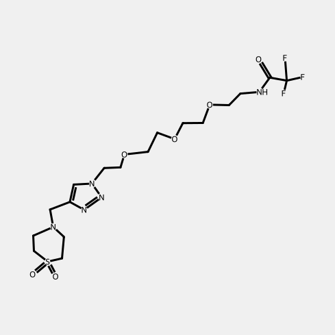 O=C(NCCOCCOCCOCCn1cc(CN2CCS(=O)(=O)CC2)nn1)C(F)(F)F